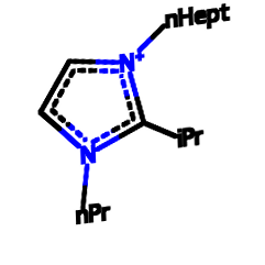 CCCCCCC[n+]1ccn(CCC)c1C(C)C